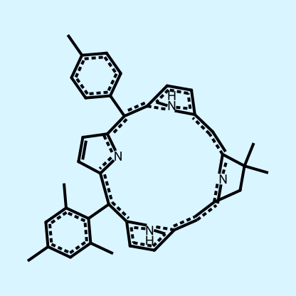 Cc1ccc(-c2c3nc(c(-c4c(C)cc(C)cc4C)c4ccc(cc5nc(cc6ccc2[nH]6)C(C)(C)C5)[nH]4)C=C3)cc1